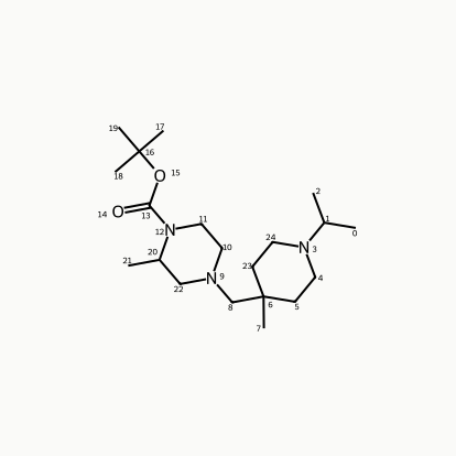 CC(C)N1CCC(C)(CN2CCN(C(=O)OC(C)(C)C)C(C)C2)CC1